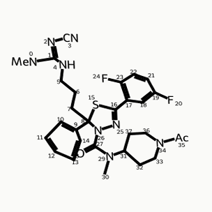 CN/C(=N/C#N)NCCCC1(c2ccccc2)SC(c2cc(F)ccc2F)=NN1C(=O)N(C)C1CCN(C(C)=O)CC1